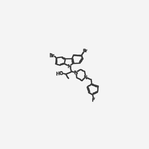 CC(O)C(N1CCN(Cc2ccc(F)cc2)CC1)n1c2ccc(Br)cc2c2cc(Br)ccc21